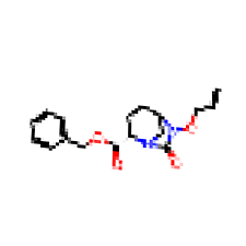 C=CCON1C(=O)N2CC1CC[C@H]2C(=O)OCc1ccccc1